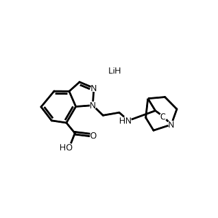 O=C(O)c1cccc2cnn(CCNC3CN4CCC3CC4)c12.[LiH]